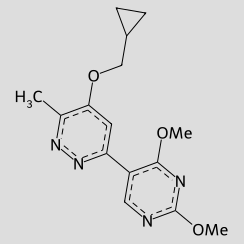 COc1ncc(-c2cc(OCC3CC3)c(C)nn2)c(OC)n1